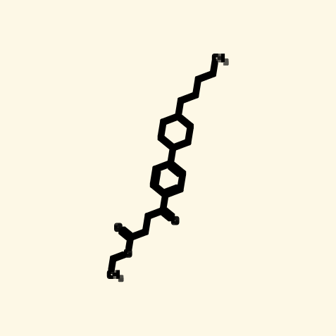 CCCCCC1CCC(c2ccc(C(=O)CCC(=O)OCC)cc2)CC1